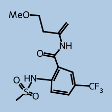 C=C(CCOC)NC(=O)c1cc(C(F)(F)F)ccc1NS(C)(=O)=O